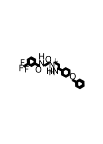 C[C@H](CC(=N)C1CCC(OCc2ccccc2)CC1)NC(=O)CNC(=O)c1cccc(C(F)(F)F)c1